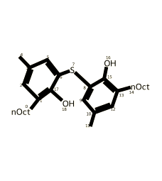 CCCCCCCCc1cc(C)cc(Sc2cc(C)cc(CCCCCCCC)c2O)c1O